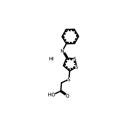 I.O=C(O)CSc1c/c(=N/c2ccccc2)ss1